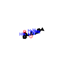 N=C/C(=C\NCc1cn2cc(C3CC3)ccc2n1)C(=O)NCc1cc(=O)[nH]c2ccccc12